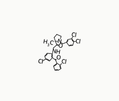 C[C@]1(C(=O)CNc2ccc(Cl)cc2C(=O)c2ccccc2Cl)CCCN1Cc1ccc(Cl)c(Cl)c1